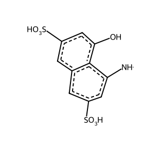 [NH]c1cc(S(=O)(=O)O)cc2cc(S(=O)(=O)O)cc(O)c12